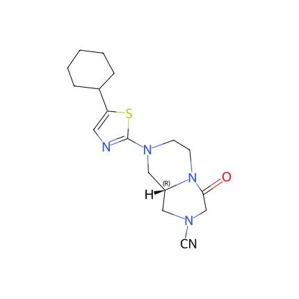 N#CN1CC(=O)N2CCN(c3ncc(C4CCCCC4)s3)C[C@H]2C1